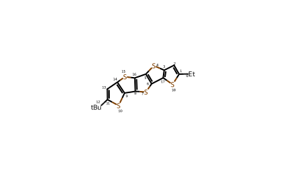 CCc1cc2sc3c(sc4c5sc(C(C)(C)C)cc5sc43)c2s1